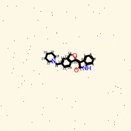 O=C1Nc2ccccc2C1=C1OCc2cc(CN3CCCCC3)ccc21